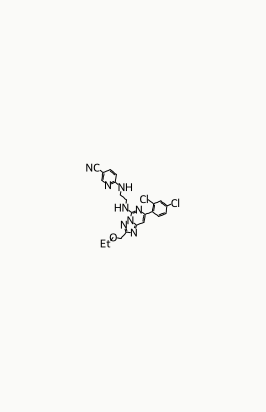 CCOCc1nc2cc(-c3ccc(Cl)cc3Cl)nc(NCCNc3ccc(C#N)cn3)n2n1